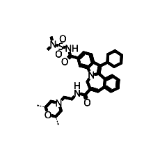 C[C@@H]1CN(CCNC(=O)C2=Cc3ccccc3-c3c(C4CCCCC4)c4ccc(C(=O)NS(=O)(=O)N(C)C)cc4n3C2)C[C@H](C)O1